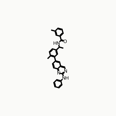 Cc1cccc(C(=O)NC(C)c2ccc(C)c(-c3ccc4nc(Nc5ccccc5)ncc4c3)c2)c1